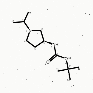 CC(C)N1CC[C@H](NC(=O)OC(C)(C)C)C1